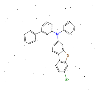 Brc1ccc2c(c1)sc1cc(N(c3ccccc3)c3cccc(-c4ccccc4)c3)ccc12